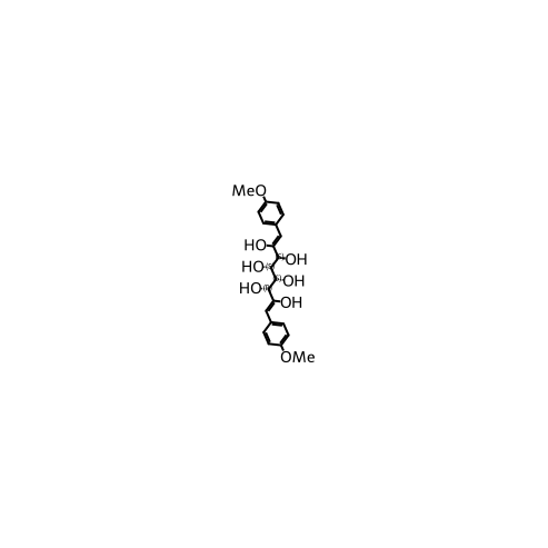 COc1ccc(C=C(O)[C@@H](O)[C@@H](O)[C@H](O)[C@@H](O)C(O)=Cc2ccc(OC)cc2)cc1